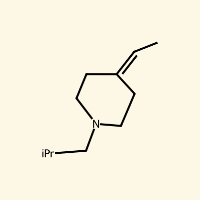 CC=C1CCN(CC(C)C)CC1